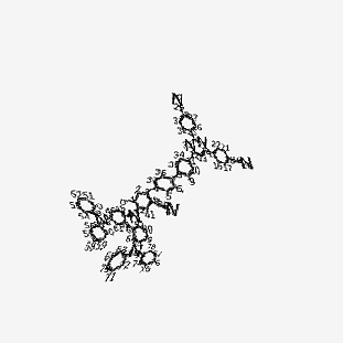 Cc1cc(-c2ccc(-c3ccc(-c4cc(-c5ccc(C#N)cc5)nc(-c5ccc(C#N)cc5)n4)cc3)cc2)c(C#N)cc1-n1c2ccc(N(c3ccccc3)c3ccccc3)cc2c2cc(N(c3ccccc3)c3ccccc3)ccc21